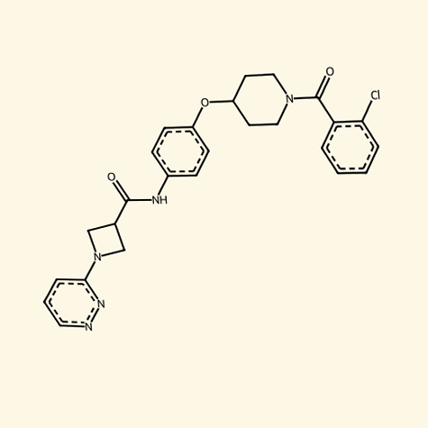 O=C(Nc1ccc(OC2CCN(C(=O)c3ccccc3Cl)CC2)cc1)C1CN(c2cccnn2)C1